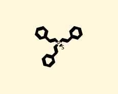 S=P(/C=C/c1ccccc1)(/C=C/c1ccccc1)/C=C/c1ccccc1